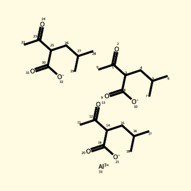 CC(=O)C(CC(C)C)C(=O)[O-].CC(=O)C(CC(C)C)C(=O)[O-].CC(=O)C(CC(C)C)C(=O)[O-].[Al+3]